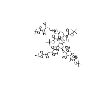 CN(C(=O)OC(C)(C)C)[C@@H]1[C@@H](O)[C@@H](O[C@@H]2[C@@H](O)[C@H](O[C@H]3OC(CNCCC(NC(=O)OC(C)(C)C)C4CC4)=CC[C@H]3NC(=O)OC(C)(C)C)[C@@H](NC(=O)OC(C)(C)C)C[C@H]2NC(=O)[C@@H](O)CNC(=O)OC(C)(C)C)OC[C@]1(C)O